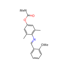 CNC(=O)Oc1cc(C)c(/N=C/c2ccccc2OC)c(C)c1